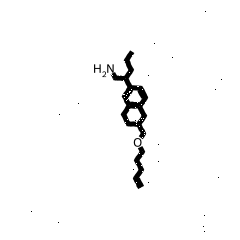 C=CCCCOCC1CCc2cc(C(CN)CCC)ccc2C1